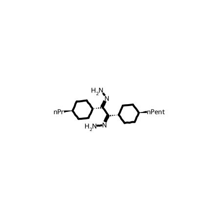 CCCCC[C@H]1CC[C@H](C(=NN)C(=NN)[C@H]2CC[C@H](CCC)CC2)CC1